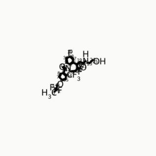 CC(F)(F)COc1ccc(C(=O)N2CCC(F)(F)C(=CC(=O)NCCO)c3cc(F)ccc32)c(C(F)(F)F)c1